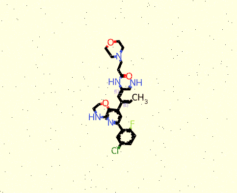 C/C=C(\C=C(/C=N)NC(=O)CCN1CCOCC1)c1cc(-c2cc(Cl)ccc2F)nc2c1OCCN2